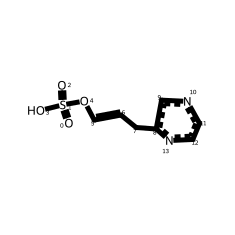 O=S(=O)(O)OC=CCc1cnccn1